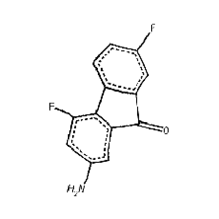 Nc1cc(F)c2c(c1)C(=O)c1cc(F)ccc1-2